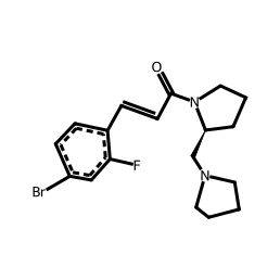 O=C(/C=C/c1ccc(Br)cc1F)N1CCC[C@H]1CN1CCCC1